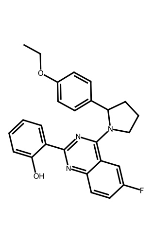 CCOc1ccc(C2CCCN2c2nc(-c3ccccc3O)nc3ccc(F)cc23)cc1